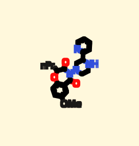 CCCC1Oc2ccc(OC)cc2C(=O)N(N2CCNC(c3ccccn3)C2)C1=O